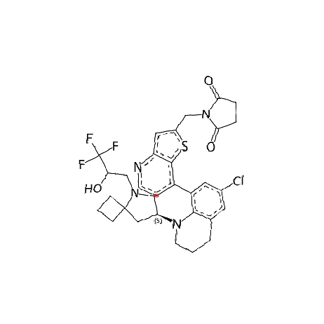 O=C1CCC(=O)N1Cc1cc2nccc(-c3cc(Cl)cc4c3N([C@@H]3CN(CC(O)C(F)(F)F)C5(CCC5)C3)CCC4)c2s1